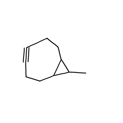 CC1C2CCC#CCCC12